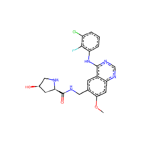 COc1cc2ncnc(Nc3cccc(Cl)c3F)c2cc1CNC(=O)[C@H]1C[C@@H](O)CN1